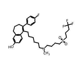 CN(CCCCCCC1=C(c2ccc(F)cc2)CCCc2cc(O)ccc21)CCCCS(=O)(=O)CCCC(F)(F)F